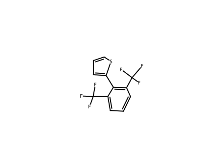 FC(F)(F)c1cccc(C(F)(F)F)c1-c1cc[c]s1